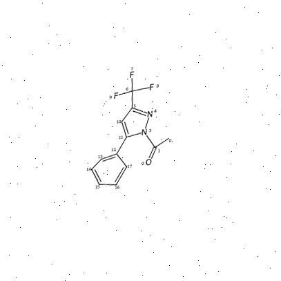 CC(=O)n1nc(C(F)(F)F)cc1-c1ccccc1